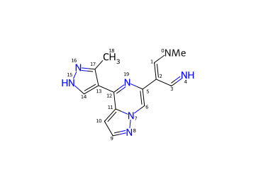 CN/C=C(\C=N)c1cn2nccc2c(-c2c[nH]nc2C)n1